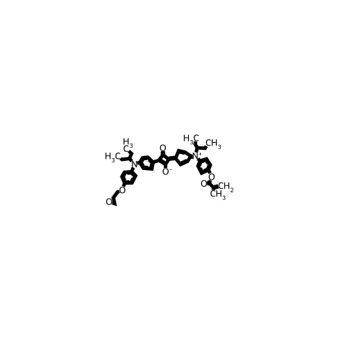 C=C(C)C(=O)Oc1ccc([N+](=C2C=CC(=C3C(=O)C(c4ccc(N(c5ccc(OCC6CO6)cc5)C(CC)CC)cc4)=C3[O-])C=C2)C(CC)CC)cc1